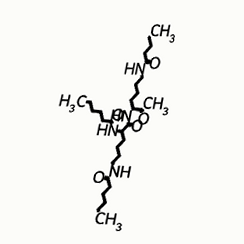 CCCCCC(=O)NCCCCC(NC(=O)CCCCC)C(=O)NC(CCCCNC(=O)CCCC)C(C)=O